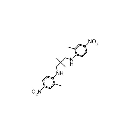 Cc1cc([N+](=O)[O-])ccc1NCC(C)(C)CNc1ccc([N+](=O)[O-])cc1C